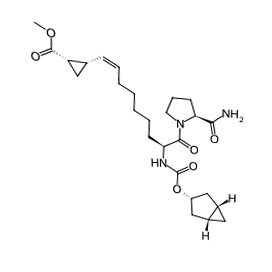 COC(=O)[C@H]1C[C@H]1/C=C\CCCCC[C@H](NC(=O)O[C@@H]1C[C@@H]2C[C@@H]2C1)C(=O)N1CCC[C@H]1C(N)=O